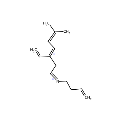 C=CCC/N=C\C/C(C=C)=C/C=C(C)C